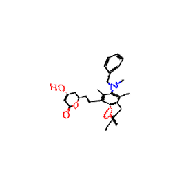 Cc1c(CC[C@@H]2C[C@@H](O)CC(=O)O2)c2c(c(C)c1N(C)Cc1ccccc1)CC(C)(C)O2